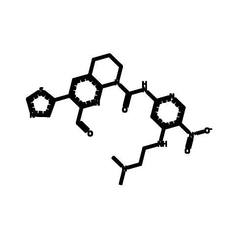 CN(C)CCNc1cc(NC(=O)N2CCCc3cc(-c4cncs4)c(C=O)nc32)ncc1[N+](=O)[O-]